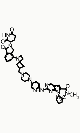 CN(C)C(=O)c1cc2cnc(Nc3ccc(N4CCN(CC5CC6(CCN6c6cccc7c6CN([C@H]6CCC(=O)NC6=O)C7=O)C5)CC4)cn3)nc2n1C1CCCC1